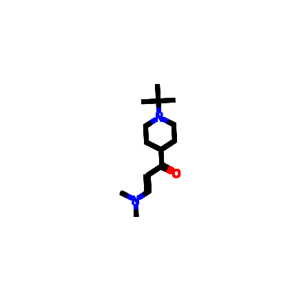 CN(C)C=CC(=O)C1CCN(C(C)(C)C)CC1